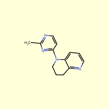 Cc1nccc(N2CCCc3ncccc32)n1